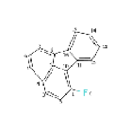 Fc1ccc2cccc3c2c1-c1ccccc1-3